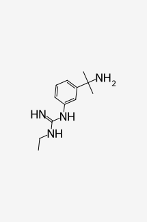 CCNC(=N)Nc1cccc(C(C)(C)N)c1